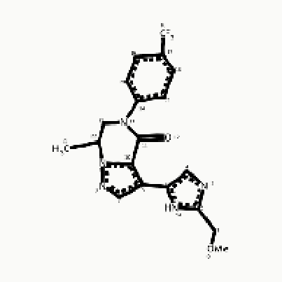 COCc1ncc(-c2cnn3c2C(=O)N(c2ccc(C(F)(F)F)cc2)CC3C)[nH]1